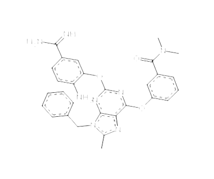 Cc1nc2c(Oc3cccc(C(=O)N(C)C)c3)nc(Oc3cc(C(=N)N)ccc3N)nc2n1Cc1ccccc1